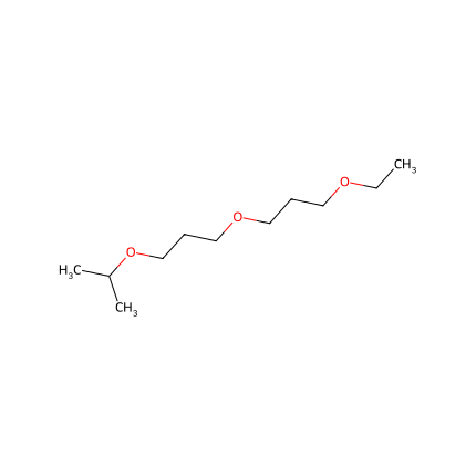 CCOCCCOCCCOC(C)C